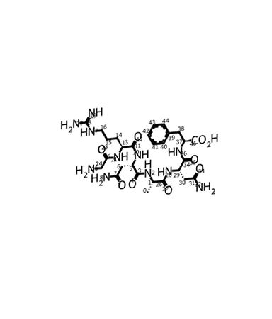 C[C@H](NC(=O)[C@H](CC(N)=O)NC(=O)[C@H](CCCNC(=N)N)NC(=O)CN)C(=O)N[C@@H](CC(N)=O)C(=O)N[C@@H](Cc1ccccc1)C(=O)O